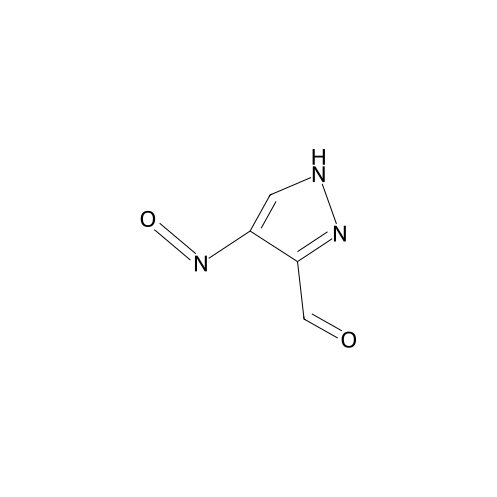 O=Cc1n[nH]cc1N=O